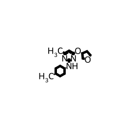 Cc1cc(O[C@@H]2CCOC2)nc(N[C@H]2CC[C@H](C)CC2)n1